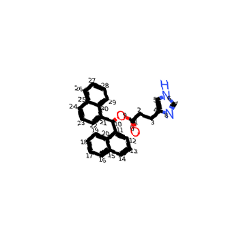 O=C(CCc1c[nH]cn1)OC(c1cccc2ccccc12)c1cccc2ccccc12